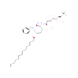 CCCCCCCCCCCCCC(=O)O[C@H]1CC[C@H](NC(=O)[C@H](OC)[C@H](O)[C@@H](O)[C@H](O)/C=C/C(C)(C)C)C(=O)N(Cc2ccccc2)C1